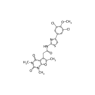 COc1c(Cl)cc(-c2csc(NC(=O)Cc3c(C)oc4c3c(=O)n(C)c(=O)n4C)n2)cc1Cl